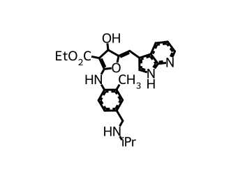 CCOC(=O)C1=C(Nc2ccc(CNC(C)C)cc2C)O/C(=C\c2c[nH]c3ncccc23)C1O